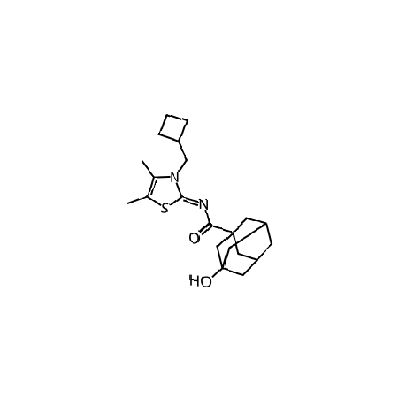 Cc1sc(=NC(=O)C23CC4CC(CC(O)(C4)C2)C3)n(CC2CCC2)c1C